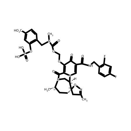 CC1=NO[C@@]2(CC[C@H](C)N3C[C@H]2n2cc(C(=O)NCc4ccc(F)cc4F)c(=O)c(OCOC(=O)N(C)Cc4ccc(C(=O)O)cc4OP(=O)(O)O)c2C3=O)C1